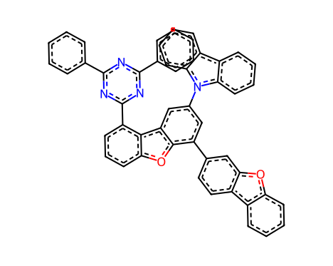 c1ccc(-c2nc(-c3ccccc3)nc(-c3cccc4oc5c(-c6ccc7c(c6)oc6ccccc67)cc(-n6c7ccccc7c7ccccc76)cc5c34)n2)cc1